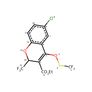 CCOC(=O)C1=C(OSC(F)(F)F)c2cc(Cl)ccc2OC1C(F)(F)F